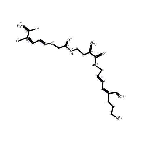 C=C/C(=C\C=C\CNC(=O)C(=C)CCNC(=O)CO/C=C/C=C(/Cl)C(=C)F)CCCC